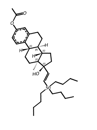 CCC[CH2][Sn]([CH]=C[C@@]1(O)CC[C@H]2[C@@H]3CCc4cc(OC(C)=O)ccc4[C@H]3CC[C@@]21C)([CH2]CCC)[CH2]CCC